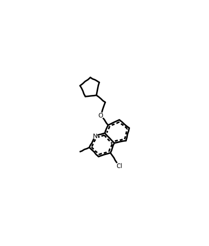 Cc1cc(Cl)c2cccc(OCC3CCCC3)c2n1